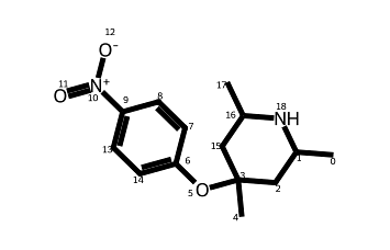 CC1CC(C)(Oc2ccc([N+](=O)[O-])cc2)CC(C)N1